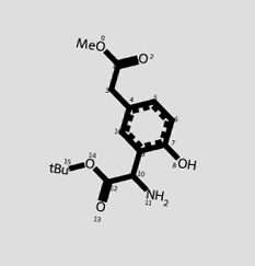 COC(=O)Cc1ccc(O)c(C(N)C(=O)OC(C)(C)C)c1